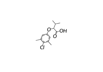 Cc1cc(OC(C(=O)O)C(C)C)cc(C)c1Cl